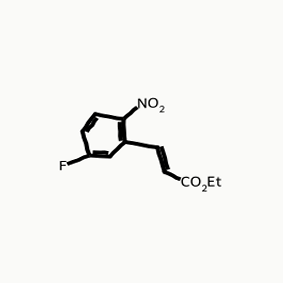 CCOC(=O)C=Cc1cc(F)ccc1[N+](=O)[O-]